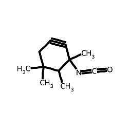 CC1C(C)(C)CC#CC1(C)N=C=O